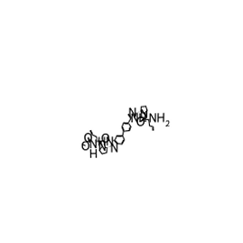 C=CC[C@H](NC(=O)OC)C(=O)N1CCC[C@H]1c1nc2ccc(-c3ccc(-c4cnc([C@@H]5CCCN5C(=O)[C@@H](N)CC=C)[nH]4)cc3)cc2[nH]1